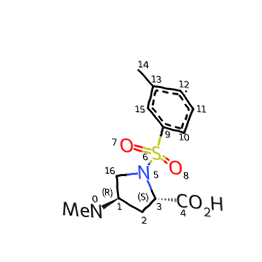 CN[C@@H]1C[C@@H](C(=O)O)N(S(=O)(=O)c2cc[c]c(C)c2)C1